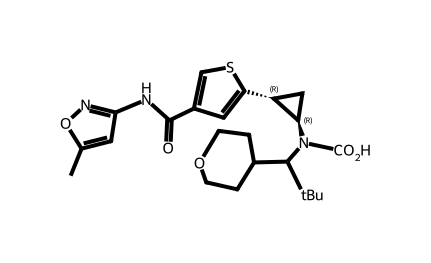 Cc1cc(NC(=O)c2csc([C@@H]3C[C@H]3N(C(=O)O)C(C3CCOCC3)C(C)(C)C)c2)no1